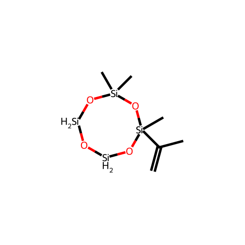 C=C(C)[Si]1(C)O[SiH2]O[SiH2]O[Si](C)(C)O1